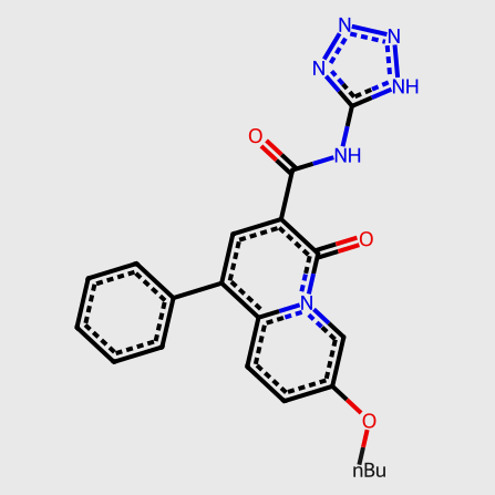 CCCCOc1ccc2c(-c3ccccc3)cc(C(=O)Nc3nnn[nH]3)c(=O)n2c1